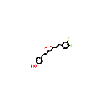 O=C(C=Cc1ccc(O)cc1)CC(=O)C=Cc1ccc(F)c(F)c1